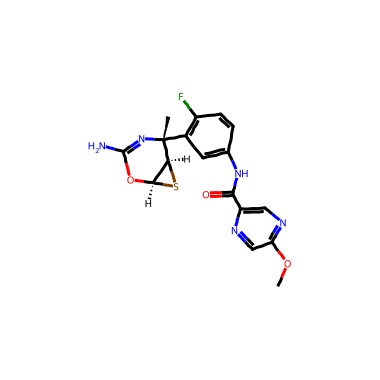 COc1cnc(C(=O)Nc2ccc(F)c([C@@]3(C)N=C(N)O[C@@H]4S[C@@H]43)c2)cn1